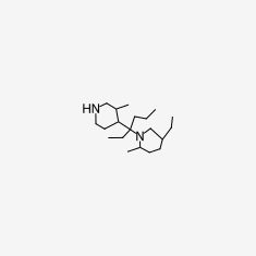 CCCC(CC)(C1CCNCC1C)N1CC(CC)CCC1C